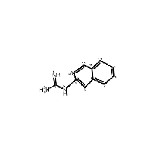 N=C(N)Nc1cc2ccccc2cn1